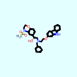 CS(=O)(=O)N1CCOc2ccc([C@@H](O)CN(CCOc3ccc4c(c3)[nH]c3ccccc34)Cc3ccccc3)cc21